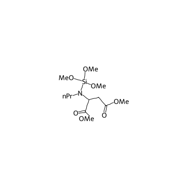 CCCN(C(CC(=O)OC)C(=O)OC)[Si](OC)(OC)OC